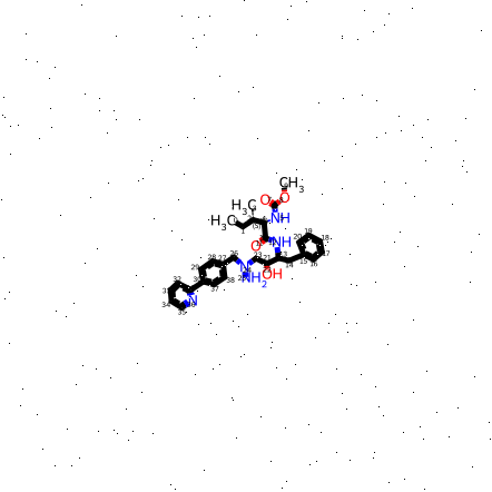 CC[C@H](C)[C@H](NC(=O)OC)C(=O)NC(Cc1ccccc1)C(O)CN(N)Cc1ccc(-c2ccccn2)cc1